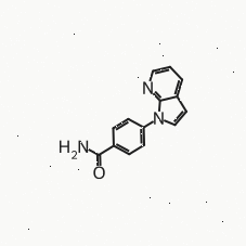 NC(=O)c1ccc(-n2ccc3cccnc32)cc1